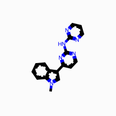 Cn1cc(-c2ccnc(Nc3ncccn3)n2)c2ccccc21